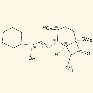 CO[C@@]12CC[C@H](O)[C@@H](/C=C/[C@H](O)C3CCCCC3)[C@@H]1C(C)C2=O